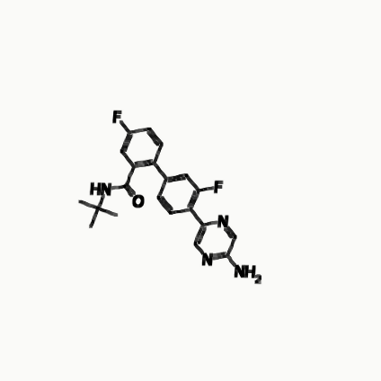 CC(C)(C)NC(=O)c1cc(F)ccc1-c1ccc(-c2cnc(N)cn2)c(F)c1